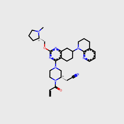 C=CC(=O)N1CCN(c2nc(OC[C@@H]3CCCN3C)nc3c2CCC(N2CCCc4cccnc42)C3)C[C@@H]1CC#N